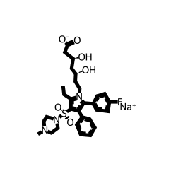 CCc1c(S(=O)(=O)N2CCN(C)CC2)c(-c2ccccc2)c(-c2ccc(F)cc2)n1CC[C@@H](O)C[C@@H](O)CC(=O)[O-].[Na+]